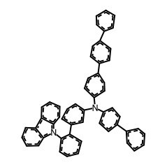 c1ccc(-c2ccc(-c3ccc(N(c4ccc(-c5ccccc5)cc4)c4cccc(-c5ccccc5-n5c6ccccc6c6ccccc65)c4)cc3)cc2)cc1